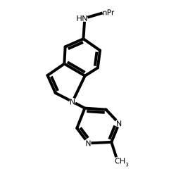 CCCNc1ccc2c(ccn2-c2cnc(C)nc2)c1